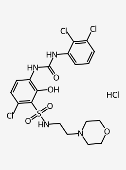 Cl.O=C(Nc1ccc(Cl)c(S(=O)(=O)NCCN2CCOCC2)c1O)Nc1cccc(Cl)c1Cl